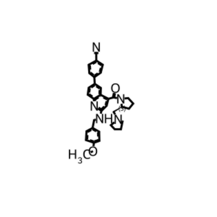 COc1ccc(CNc2cc(C(=O)N3CCC[C@H]3CN3CCCC3)c3cc(-c4ccc(C#N)cc4)ccc3n2)cc1